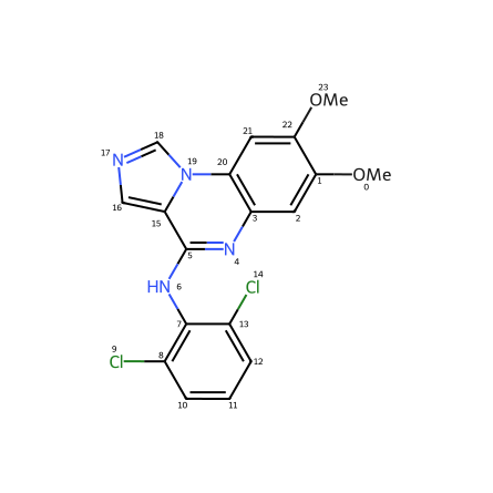 COc1cc2nc(Nc3c(Cl)cccc3Cl)c3cncn3c2cc1OC